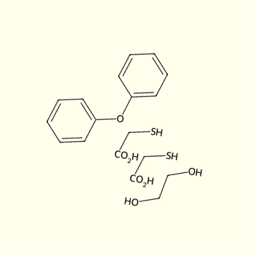 O=C(O)CS.O=C(O)CS.OCCO.c1ccc(Oc2ccccc2)cc1